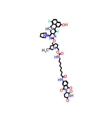 C#Cc1c(F)ccc2cc(O)cc(-c3ncc4c(N5CC6CCC(C5)N6)nc(OCC56CCC(COC(=O)NCCCCCCCCC(=O)Nc7ccc8c(c7)C(=O)N(C7CCC(=O)NC7=O)C8=O)N5CC(C)C6)nc4c3F)c12